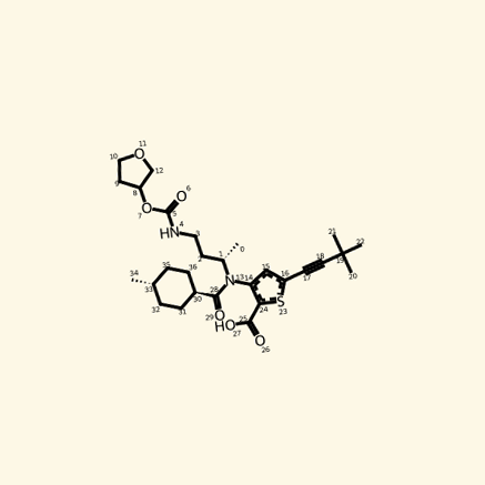 C[C@@H](CCNC(=O)OC1CCOC1)N(c1cc(C#CC(C)(C)C)sc1C(=O)O)C(=O)[C@H]1CC[C@H](C)CC1